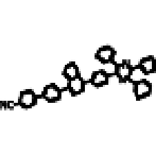 N#Cc1ccc(-c2ccc(-c3ccc(-c4ccc(-c5nc(-c6ccccc6)c(-c6ccccc6)nc5-c5ccccc5)cc4)c4ccccc34)cc2)cc1